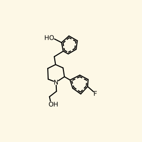 OCCN1CCC(Cc2ccccc2O)CC1c1ccc(F)cc1